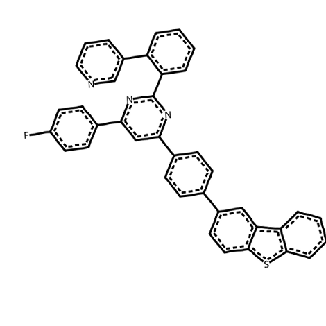 Fc1ccc(-c2cc(-c3ccc(-c4ccc5sc6ccccc6c5c4)cc3)nc(-c3ccccc3-c3cccnc3)n2)cc1